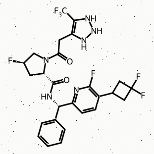 O=C(N[C@@H](c1ccccc1)c1ccc(C2CC(F)(F)C2)c(F)n1)[C@@H]1C[C@@H](F)CN1C(=O)CC1=C(C(F)(F)F)NNN1